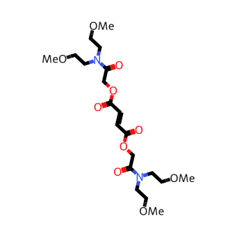 COCCN(CCOC)C(=O)COC(=O)/C=C/C(=O)OCC(=O)N(CCOC)CCOC